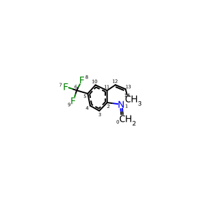 C=Nc1ccc(C(F)(F)F)cc1/C=C\C